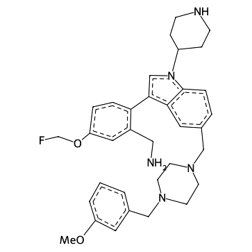 COc1cccc(CN2CCN(Cc3ccc4c(c3)c(-c3ccc(OCF)cc3CN)cn4C3CCNCC3)CC2)c1